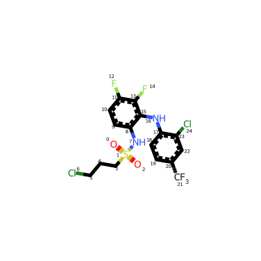 O=S(=O)(CCCCl)Nc1ccc(F)c(F)c1Nc1ccc(C(F)(F)F)cc1Cl